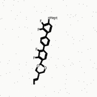 C/C=C/C1COC(c2ccc(-c3ccc(-c4ccc(CCCCCCC)c(F)c4F)cc3)c(F)c2F)OC1